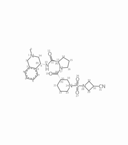 CN1Cc2ccccc2[C@@H](NC(=O)[C@H]2CCCN2C(=O)[C@H]2CCCN(S(=O)(=O)N3CC(C#N)C3)C2)C1